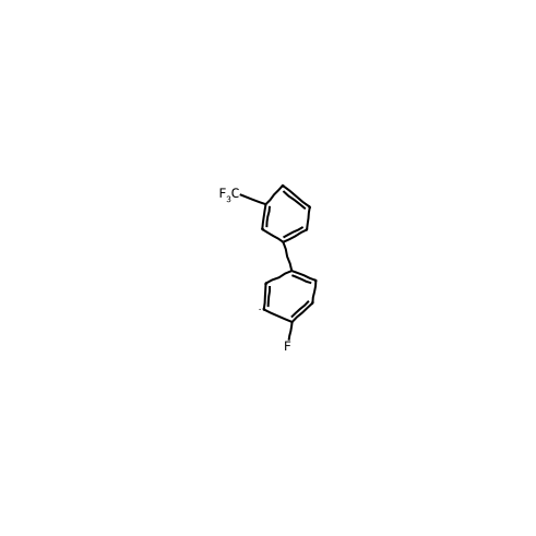 Fc1[c]cc(-c2cccc(C(F)(F)F)c2)cc1